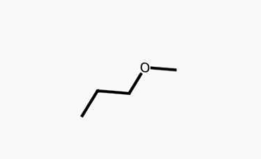 CCCOC